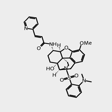 COc1ccc2c3c1O[C@@H]1[C@@H](NC(=O)/C=C/c4ccccn4)CC[C@]4(O)[C@H](C2)N(S(=O)(=O)c2ccccc2N(C)C)CC[C@@]314